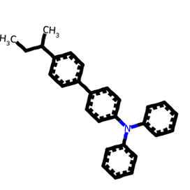 CCC(C)c1ccc(-c2ccc(N(c3ccccc3)c3ccccc3)cc2)cc1